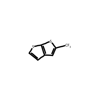 FC(F)(F)c1cc2ccsc2s1